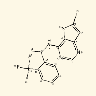 CC(Nc1ncnc2cc(I)sc12)c1ccccc1C(F)(F)F